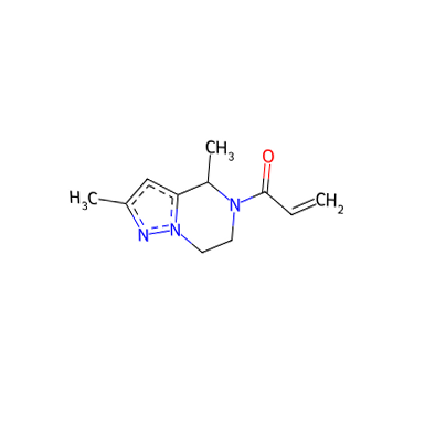 C=CC(=O)N1CCn2nc(C)cc2C1C